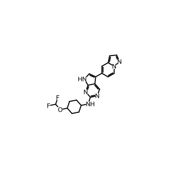 FC(F)OC1CCC(Nc2ncc3c(-c4ccn5nccc5c4)c[nH]c3n2)CC1